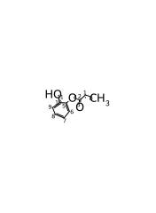 C[CH]C(=O)Oc1ccccc1O